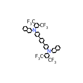 FC(F)(F)c1cc(N(c2ccc(-c3ccc(-c4ccc(N(c5cc(C(F)(F)F)cc(C(F)(F)F)c5)c5ccc6ccccc6c5)cc4)cc3)cc2)c2ccc3ccccc3c2)cc(C(F)(F)F)c1